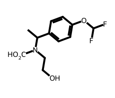 CC(c1ccc(OC(F)F)cc1)N(CCO)C(=O)O